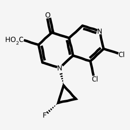 O=C(O)c1cn([C@@H]2C[C@@H]2F)c2c(Cl)c(Cl)ncc2c1=O